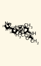 C=CC(=O)NC1CC(C)(C)N(S(=O)(=O)c2ccc(-c3ccno3)s2)C1(C)C